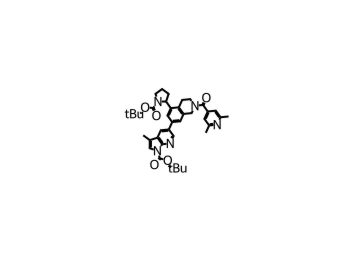 Cc1cc(C(=O)N2CCc3c(cc(-c4cnc5c(c4)c(C)cn5C(=O)OC(C)(C)C)cc3C3CCCN3C(=O)OC(C)(C)C)C2)cc(C)n1